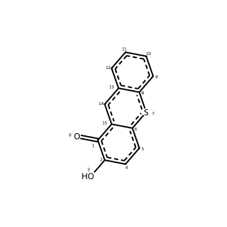 O=c1c(O)ccc2sc3ccccc3cc1-2